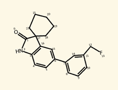 O=C1Nc2ccc(-c3cccc(CF)c3)cc2C12CCCCC2